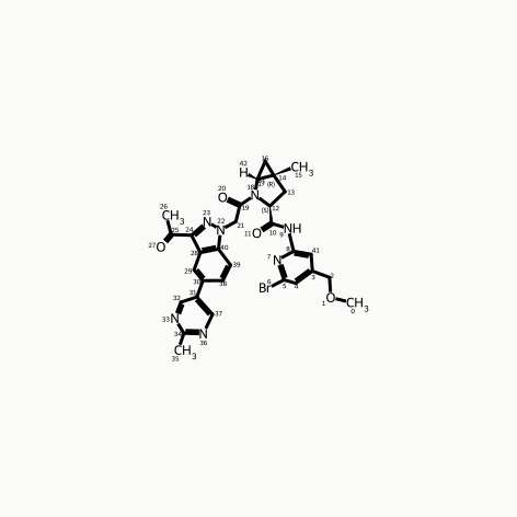 COCc1cc(Br)nc(NC(=O)[C@@H]2C[C@@]3(C)C[C@H]3N2C(=O)Cn2nc(C(C)=O)c3cc(-c4cnc(C)nc4)ccc32)c1